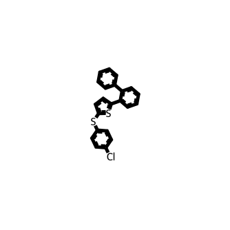 Clc1ccc(Sc2ccc(-c3ccccc3-c3ccccc3)s2)cc1